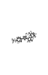 CN=S1(=O)C[C@@](C)(c2cc(-c3cc(-c4ncc(OCC(F)F)cn4)no3)ccc2F)N=C(N)C1(C)C